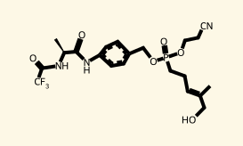 C/C(=C\CCP(=O)(OCCC#N)OCc1ccc(NC(=O)[C@H](C)NC(=O)C(F)(F)F)cc1)CO